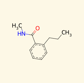 CCCc1ccccc1C(=O)NC